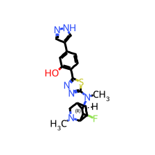 CN1CC2CCC1C(F)[C@@H]2N(C)c1nnc(-c2ccc(-c3cn[nH]c3)cc2O)s1